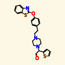 O=CC(c1cccs1)N1CCN(CCc2ccc(Oc3nc4ccccc4s3)cc2)CC1